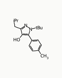 Cc1ccc(-c2c(O)c(CC(C)C)nn2C(C)(C)C)cc1